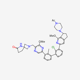 COc1nc(-c2cccc(-c3cccc(-c4cc5c(c(OC)n4)C(N4CCN(C(C)=O)CC4)CC5)c3Cl)c2C)cnc1CN1CC2(CCC(=O)N2)C1